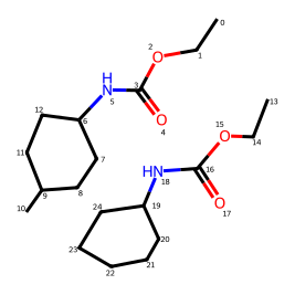 CCOC(=O)NC1CCC(C)CC1.CCOC(=O)NC1CCCCC1